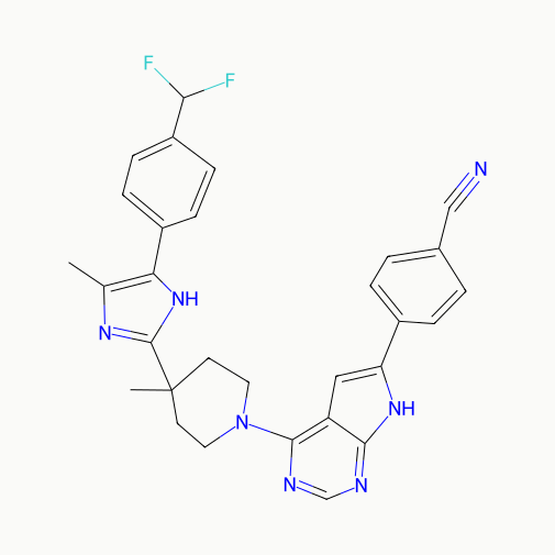 Cc1nc(C2(C)CCN(c3ncnc4[nH]c(-c5ccc(C#N)cc5)cc34)CC2)[nH]c1-c1ccc(C(F)F)cc1